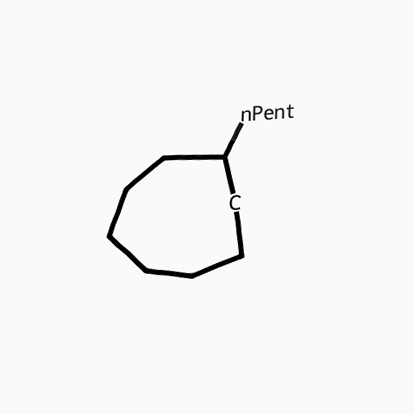 [CH2]CCCCC1CCCCCCC1